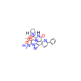 CS(=O)(=O)c1c([C@@H]2C[C@H]3CC[C@@H](C2)N3C(=O)c2cccc(=O)[nH]2)nc2c(-c3ccc(-c4ccccc4)nc3)cnn2c1N